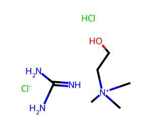 C[N+](C)(C)CCO.Cl.N=C(N)N.[Cl-]